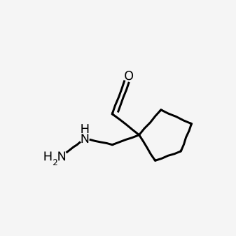 NNCC1(C=O)CCCC1